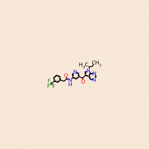 CC[C@H](C)n1cc(C(=O)c2cncc(NC(=O)Cc3cccc(C(F)(F)F)c3)c2)c2cncnc21